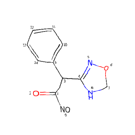 O=NC(=O)C(C1=NOCN1)c1ccccc1